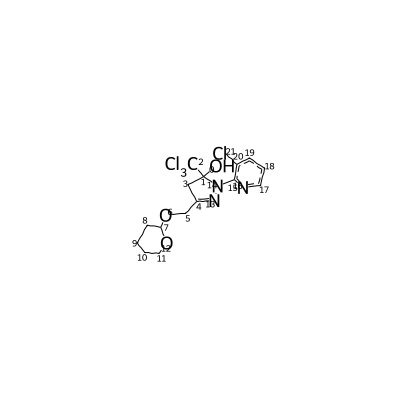 OC1(C(Cl)(Cl)Cl)CC(COC2CCCCO2)=NN1c1ncccc1Cl